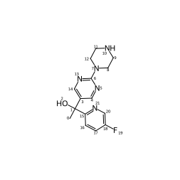 CC(O)(c1cnc(N2CCNCC2)nc1)c1ccc(F)cn1